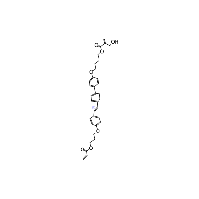 C=CC(=O)OCCCOc1ccc(/C=C/c2ccc(-c3ccc(OCCCCOC(=O)C(=C)CO)cc3)cc2)cc1